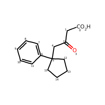 O=C(O)CC(=O)CC1(c2ccccc2)CCCC1